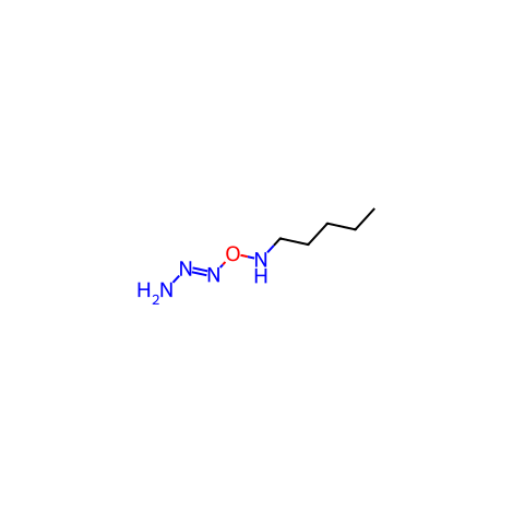 CCCCCNON=NN